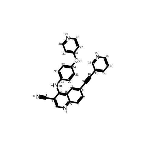 N#Cc1cnc2ccc(C#Cc3cccnc3)cc2c1Nc1ccc(Oc2ccncc2)cc1